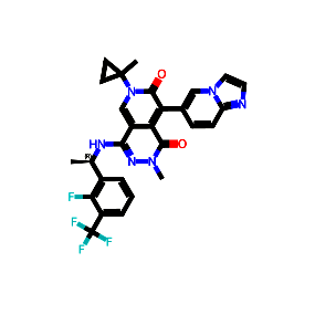 C[C@@H](Nc1nn(C)c(=O)c2c(-c3ccc4nccn4c3)c(=O)n(C3(C)CC3)cc12)c1cccc(C(F)(F)F)c1F